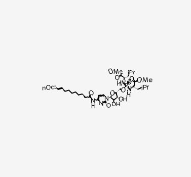 CCCCCCCC/C=C/CCCCCCCC(=O)Nc1ccn([C@@H]2O[C@H](COP(=O)(N[C@@H](CC(C)C)C(=O)OC)N[C@@H](CC(C)C)C(=O)OC)[C@H](O)C2O)c(=O)n1